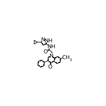 Cc1ccc2c(=O)c(-c3ccccc3)cn(CC(=O)Nc3cc(C4CC4)n[nH]3)c2c1